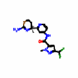 Cn1nc(C(F)F)cc1C(=O)Nc1ccnc([C@]2(C)CCSC(N)=N2)c1